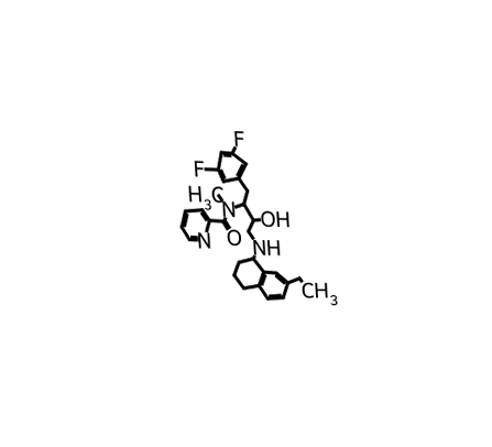 CCc1ccc2c(c1)C(NCC(O)C(Cc1cc(F)cc(F)c1)N(C)C(=O)c1ccccn1)CCC2